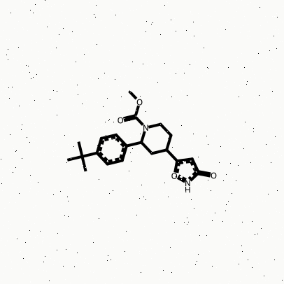 COC(=O)N1CCC(c2cc(=O)[nH]o2)CC1c1ccc(C(C)(C)C)cc1